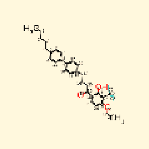 CCCCCc1ccc(-c2ccc(CCCC(=O)c3ccc(OCC)c(C(F)F)c3O)cc2)cc1